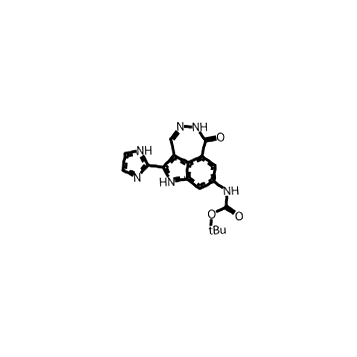 CC(C)(C)OC(=O)Nc1cc2c3c(c(-c4ncc[nH]4)[nH]c3c1)C=NNC2=O